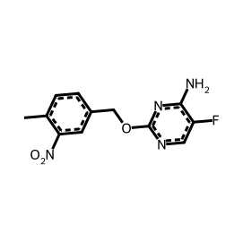 Cc1ccc(COc2ncc(F)c(N)n2)cc1[N+](=O)[O-]